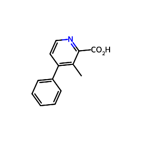 Cc1c(-c2ccccc2)ccnc1C(=O)O